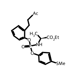 CCOC(=O)[C@H](C)NP(=O)(Oc1ccc(SC)cc1)Oc1ccccc1CCC(C)=O